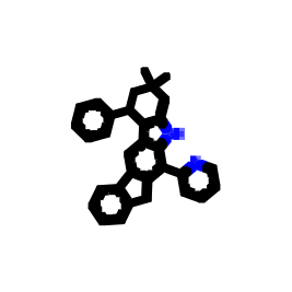 CC1(C)C=c2[nH]c3c(-c4ccccn4)c4c(cc3c2C(c2ccccc2)C1)-c1ccccc1C=4